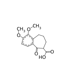 COc1ccc2c(c1OC)CCCC(C(=O)O)C2=O